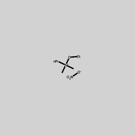 CCC[N+](C)(C)OCC.O=[N+]([O-])[O-]